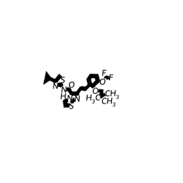 CC(C)(C)COc1c(C=Cc2nc3sccn3c2C(=O)Nc2nc(C3CC3)cs2)cccc1OC(F)F